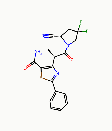 C[C@@H](C(=O)N1CC(F)(F)C[C@H]1C#N)c1nc(-c2ccccc2)sc1C(N)=O